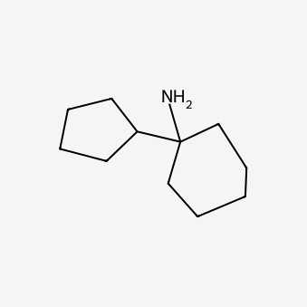 NC1(C2CCCC2)CCCCC1